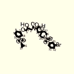 O=C(O)N(C[C@H](O)COc1cccc(S(=O)(=O)C2CC2)c1)[C@H]1COC2(CCN(S(=O)(=O)c3cccc(Br)c3)CC2)C1